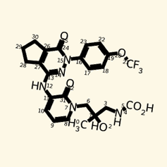 CC(O)(CNC(=O)O)Cn1cccc(Nc2nn(-c3ccc(OC(F)(F)F)cc3)c(=O)c3c2CCC3)c1=O